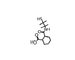 CC(C)(S)C(C)(C)NC(=O)C1CCCCC1C(=O)O